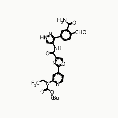 CC(C)(C)OC(=O)N(CC(F)(F)F)c1cc(-c2nc(C(=O)Nc3c[nH]nc3-c3ccc(C=O)c(C(N)=O)c3)co2)ccn1